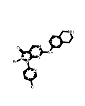 CCn1c(=O)c2cnc(Nc3ccc4c(c3)CCNC4)nc2n1-c1ccc(Cl)cn1